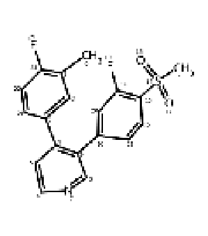 Cc1cc(-c2ccncc2-c2ccc(S(C)(=O)=O)c(F)c2)ccc1F